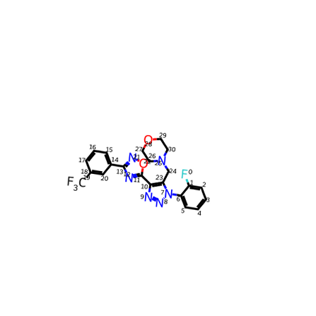 Fc1ccccc1-n1nnc(-c2nc(-c3cccc(C(F)(F)F)c3)no2)c1CN1CCOCC1